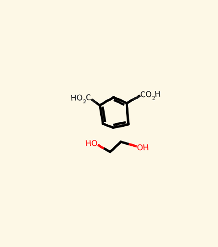 O=C(O)c1cccc(C(=O)O)c1.OCCO